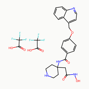 O=C(CC1(NC(=O)c2ccc(OCc3ccnc4ccccc34)cc2)CCNCC1)NO.O=C(O)C(F)(F)F.O=C(O)C(F)(F)F